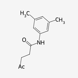 CC(=O)CCC(=O)Nc1cc(C)cc(C)c1